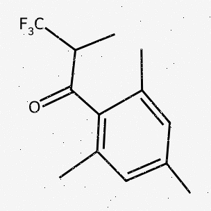 Cc1cc(C)c(C(=O)C(C)C(F)(F)F)c(C)c1